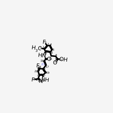 Cc1c(F)ccc(CCC(=O)O)c1NC(=O)/C=C/c1cc2[nH]nc(F)c2cc1F